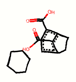 C1CCCCC1.O=C(O)c1ccc2c(C(=O)O)c1CC2